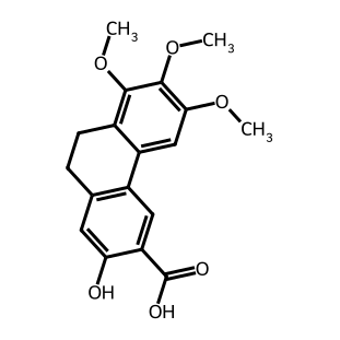 COc1cc2c(c(OC)c1OC)CCc1cc(O)c(C(=O)O)cc1-2